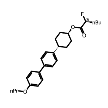 CCCC[C@H](F)C(=O)O[C@H]1CC[C@H](c2ccc(-c3ccc(OCCC)cc3)cc2)CC1